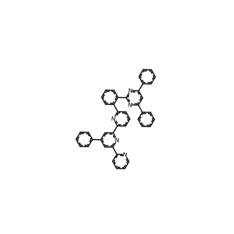 c1ccc(-c2cc(-c3ccccn3)nc(-c3cccc(-c4ccccc4-c4nc(-c5ccccc5)cc(-c5ccccc5)n4)n3)c2)cc1